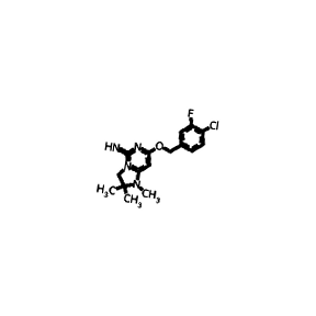 CN1c2cc(OCc3ccc(Cl)c(F)c3)nc(=N)n2CC1(C)C